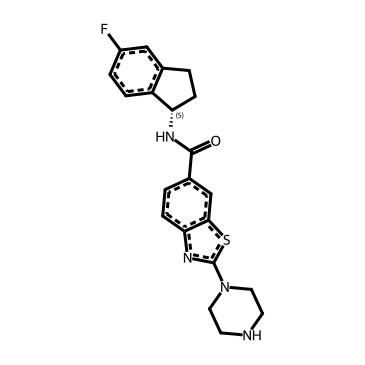 O=C(N[C@H]1CCc2cc(F)ccc21)c1ccc2nc(N3CCNCC3)sc2c1